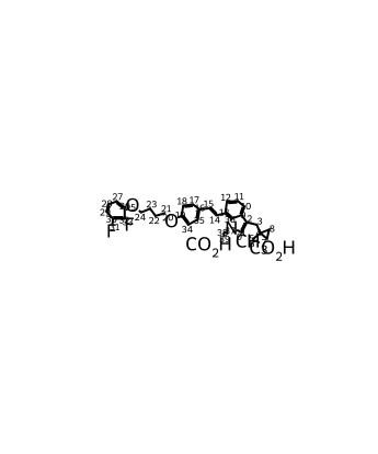 Cc1c(CC2(CC(=O)O)CC2)c2cccc(C=Cc3ccc(OCCCCOc4cccc(F)c4F)cc3)c2n1CC(=O)O